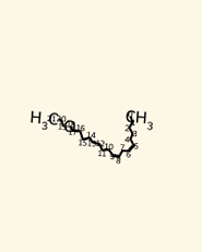 CCCCC/C=C\C/C=C\CCCCCCCCOCCC